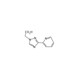 O=C(O)Cn1cnc(-c2ccccn2)n1